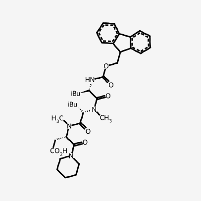 CC[C@H](C)[C@H](NC(=O)OCC1c2ccccc2-c2ccccc21)C(=O)N(C)[C@H](C(=O)N(C)[C@@H](CC(=O)O)C(=O)N1CCCCC1)[C@@H](C)CC